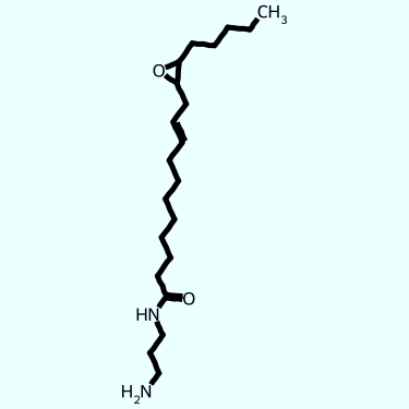 CCCCCC1OC1CC=CCCCCCCCC(=O)NCCCN